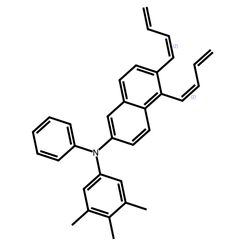 C=C/C=C\c1ccc2cc(N(c3ccccc3)c3cc(C)c(C)c(C)c3)ccc2c1/C=C\C=C